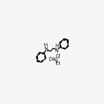 [Cl][Ru]([Cl])[Cl].c1ccc(NCCNc2ccccc2)cc1